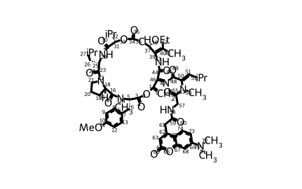 C=C1OC(=O)[C@H](Cc2ccc(OC)cc2)N(C)C(=O)[C@@H]2CCCN2C(=O)[C@H](CC(C)C)NC(=O)[C@H](C(C)C)OC(=O)C[C@H](O)/C(=C(/C)CC)NC(=O)/C1=N\C(=O)/C(=C/C(C)C)N(C)C(=O)CNC(=O)Cc1cc(=O)oc2cc(N(C)C)ccc12